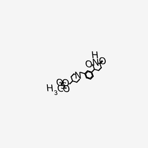 CS(=O)(=O)OCC1CCN(Cc2cccc(C3CCC(=O)NC3=O)c2)CC1